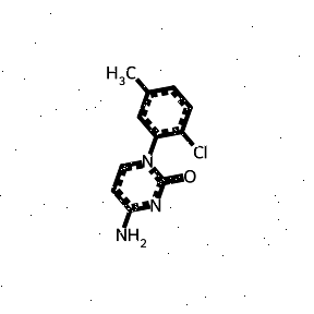 Cc1ccc(Cl)c(-n2ccc(N)nc2=O)c1